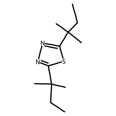 CCC(C)(C)c1nnc(C(C)(C)CC)s1